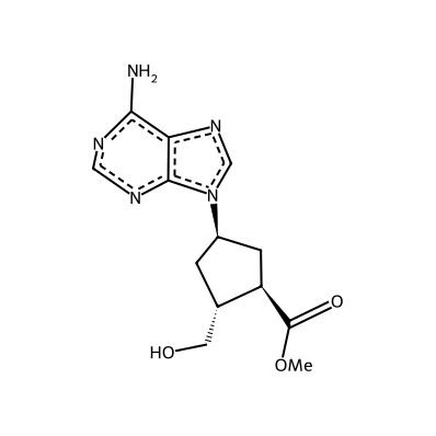 COC(=O)[C@@H]1C[C@H](n2cnc3c(N)ncnc32)C[C@H]1CO